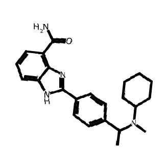 CC(c1ccc(-c2nc3c(C(N)=O)cccc3[nH]2)cc1)N(C)C1CCCCC1